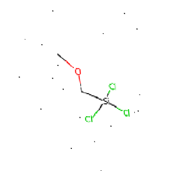 COC[Si](Cl)(Cl)Cl